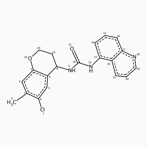 Cc1cc2c(cc1Cl)C(NC(=O)Nc1cccc3ncccc13)CCO2